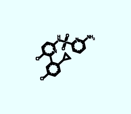 Nc1cccc(S(=O)(=O)Nc2ccc(Cl)c(-c3cc(Cl)ccc3C3CC3)n2)n1